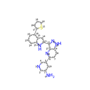 Nc1cncc(-c2ccc3[nH]nc(-c4cc5c(-c6cccs6)cccc5[nH]4)c3n2)c1